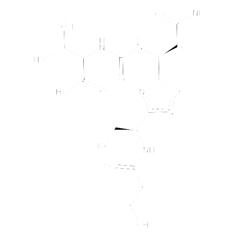 CCCC(=O)N[C@@H](CO)c1noc([C@H](CC(N)=O)NC(=O)NC(C(=O)O)C(C)O)n1